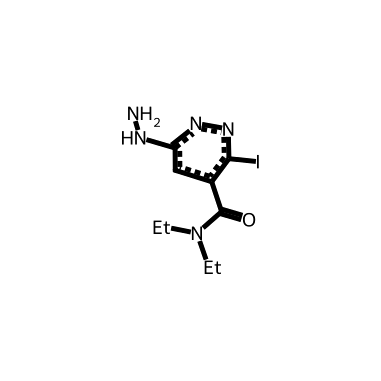 CCN(CC)C(=O)c1cc(NN)nnc1I